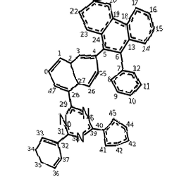 C1=CC2C=C(c3c(-c4ccccc4)c4ccccc4c4ccccc34)C=CC2C(c2nc(C3=CCCC=C3)nc(-c3ccccc3)n2)=C1